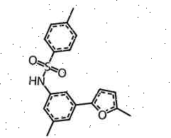 Cc1ccc(S(=O)(=O)Nc2cc(C)cc(-c3ccc(C)o3)c2)cc1